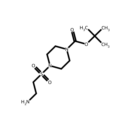 CC(C)(C)OC(=O)N1CCN(S(=O)(=O)CCN)CC1